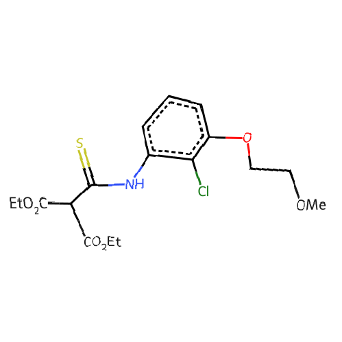 CCOC(=O)C(C(=O)OCC)C(=S)Nc1cccc(OCCOC)c1Cl